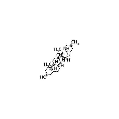 C[C@@H]1CC[C@]2(NC1)O[C@H]1C[C@H]3[C@@H]4CC=C5C[C@@H](O)CC[C@]5(C)[C@H]4CC[C@]3(C)[C@H]1[C@@H]2C